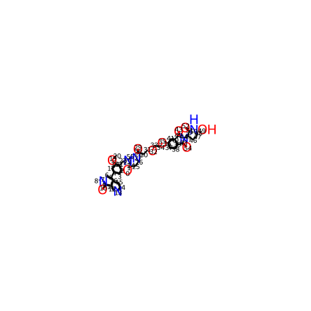 COc1cc(-c2cn(C)c(=O)c3cnccc23)cc(OC)c1CN1CCCN(C(=O)CCOCCOc2ccc3c(c2)C(=O)N(C2CCC(O)NC2=O)C3=O)C1